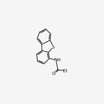 CCC(=O)Nc1cccc2c1sc1ccccc12